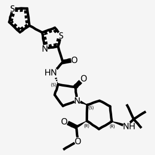 COC(=O)[C@@H]1C[C@H](NC(C)(C)C)CC[C@@H]1N1CC[C@H](NC(=O)c2nc(-c3ccsc3)cs2)C1=O